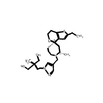 CCc1cc2c(s1)CCO[C@@]21CCN(Cc2cnn(CC(C)(CO)CO)c2)[C@@H](C)C1